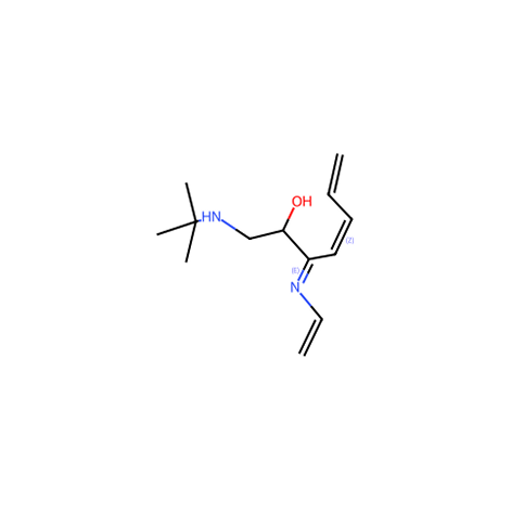 C=C/C=C\C(=N/C=C)C(O)CNC(C)(C)C